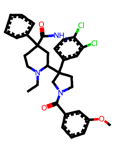 CCN1CCC(C(N)=O)(c2ccccc2)CC1C1(c2ccc(Cl)c(Cl)c2)CCN(C(=O)c2cccc(OC)c2)C1